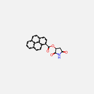 O=C1CC(OC(=O)c2ccc3ccc4cccc5ccc2c3c45)C(=O)N1